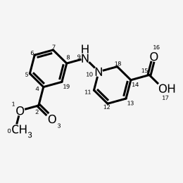 COC(=O)c1cccc(NN2C=CC=C(C(=O)O)C2)c1